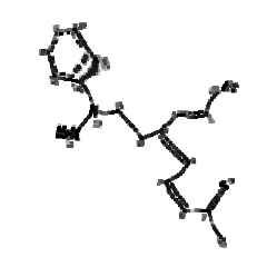 CC/C=C/C(=C/C=C\C(C)=S)CCN(NC)c1ccccc1